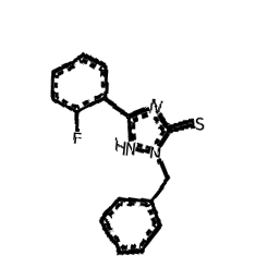 Fc1ccccc1-c1nc(=S)n(Cc2ccccc2)[nH]1